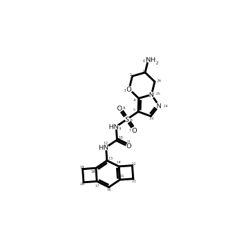 NC1COc2c(S(=O)(=O)NC(=O)Nc3c4c(cc5c3CC5)CC4)cnn2C1